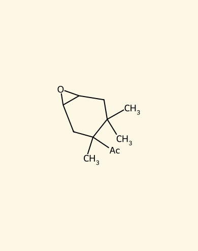 CC(=O)C1(C)CC2OC2CC1(C)C